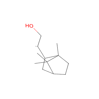 CC1(C)C2CCC1(C)C([CH]CO)C2